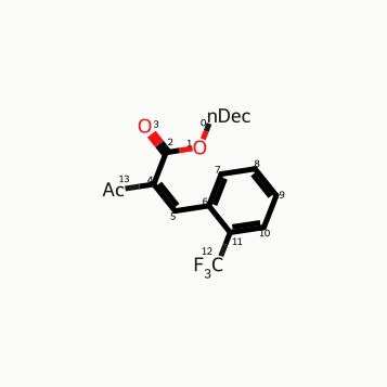 CCCCCCCCCCOC(=O)C(=Cc1ccccc1C(F)(F)F)C(C)=O